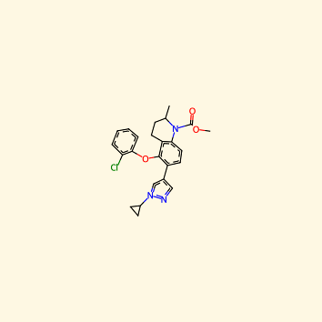 COC(=O)N1c2ccc(-c3cnn(C4CC4)c3)c(Oc3ccccc3Cl)c2CCC1C